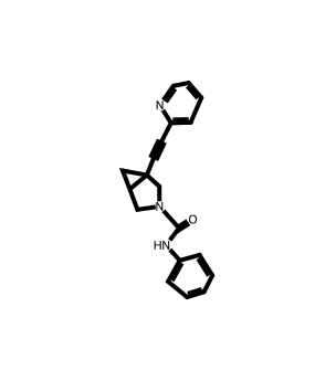 O=C(Nc1ccccc1)N1CC2CC2(C#Cc2ccccn2)C1